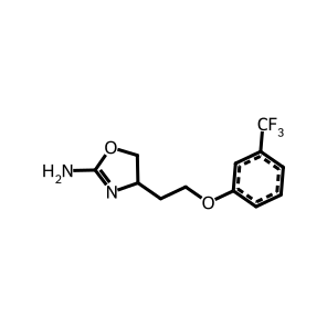 NC1=NC(CCOc2cccc(C(F)(F)F)c2)CO1